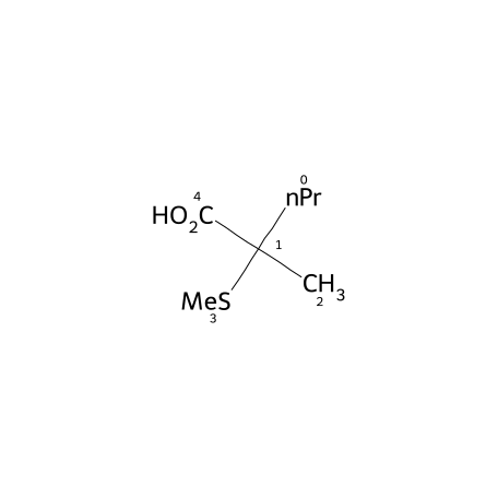 CCCC(C)(SC)C(=O)O